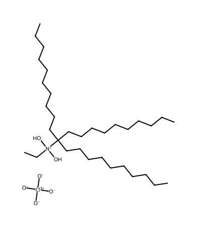 CCCCCCCCCCC(CCCCCCCCCC)(CCCCCCCCCC)[N+](O)(O)CC.[O-][Cl+3]([O-])([O-])[O-]